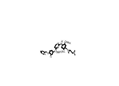 COc1cc(N(C)CCN(C)C)c(NC(C)=O)cc1Nc1nccc(Oc2ccc(OCc3ccccn3)c(Cl)c2)n1